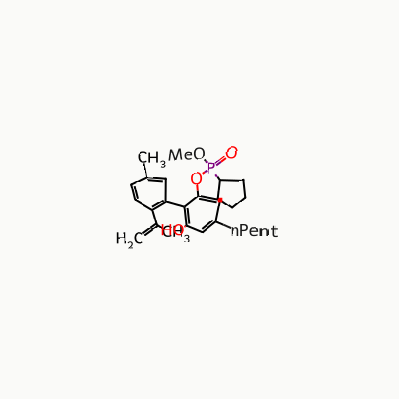 C=C(C)c1ccc(C)cc1-c1c(O)cc(CCCCC)cc1OP(=O)(OC)C1CCCC1